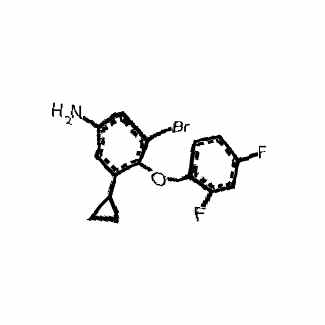 Nc1cc(Br)c(Oc2ccc(F)cc2F)c(C2CC2)c1